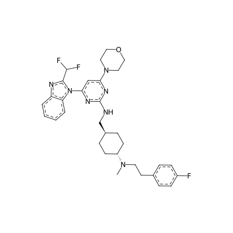 CN(CCc1ccc(F)cc1)[C@H]1CC[C@H](CNc2nc(N3CCOCC3)cc(-n3c(C(F)F)nc4ccccc43)n2)CC1